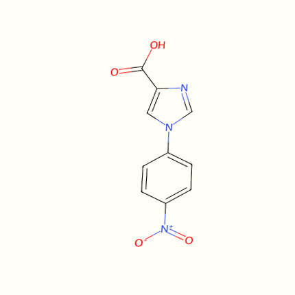 O=C(O)c1cn(-c2ccc([N+](=O)[O-])cc2)cn1